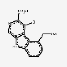 CCOC(=O)c1ncc2[nH]c3cccc(COC(C)=O)c3c2c1C